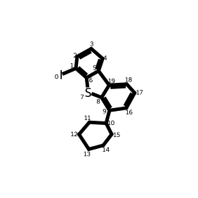 Ic1cccc2c1sc1c(C3CCCCC3)cccc12